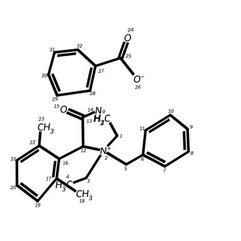 CC[N+](CC)(Cc1ccccc1)C(C(N)=O)c1c(C)cccc1C.O=C([O-])c1ccccc1